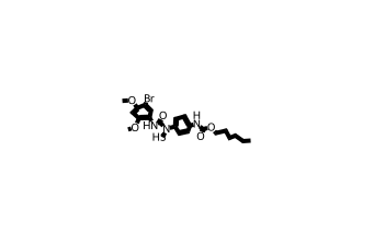 CCCCCCOC(=O)Nc1ccc(N(S)C(=O)Nc2cc(Br)c(OC)cc2OC)cc1